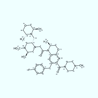 C[C@@H]1CN(CC(=O)N2c3cc(Cc4ccc(F)cc4)c(C(=O)N4CCN(C)CC4)nc3OC[C@@H]2C)[C@@H](CN2[C@H](C)COC[C@H]2C)CN1C(=O)O